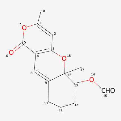 Cc1cc2c(c(=O)o1)C=C1CCCC(OC=O)C1(C)O2